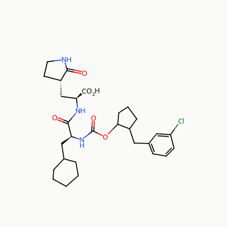 O=C(N[C@@H](CC1CCCCC1)C(=O)N[C@@H](C[C@@H]1CCNC1=O)C(=O)O)OC1CCCC1Cc1cccc(Cl)c1